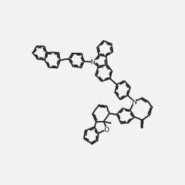 C=C1/C=C\C=C/N(c2ccc(-c3ccc4c(c3)c3ccccc3n4-c3ccc(-c4ccc5ccccc5c4)cc3)cc2)c2cc(C3C=CC=C4c5ccccc5OC43C)ccc21